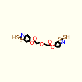 O=C(CCOCCC(=O)Oc1ccc2nc(S)sc2c1)Oc1ccc2nc(S)sc2c1